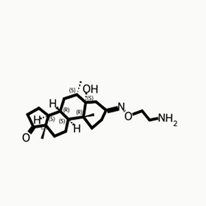 C[C@H]1C[C@H]2[C@@H]3CCC(=O)[C@@]3(C)CC[C@@H]2[C@@]2(C)CCC(=NOCCN)C[C@]12O